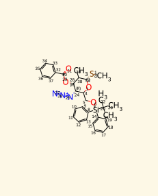 CS[C@@H]1OC(CO[Si](c2ccccc2)(c2ccccc2)C(C)(C)C)[C@H](N=[N+]=[N-])[C@H](OC(=O)c2ccccc2)C1C